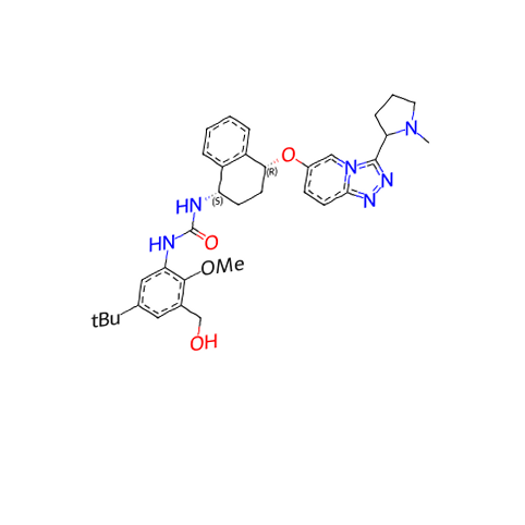 COc1c(CO)cc(C(C)(C)C)cc1NC(=O)N[C@H]1CC[C@@H](Oc2ccc3nnc(C4CCCN4C)n3c2)c2ccccc21